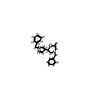 CC1CN(Cc2ccccc2)CC(c2cnn(Cc3ccccc3)c2)O1